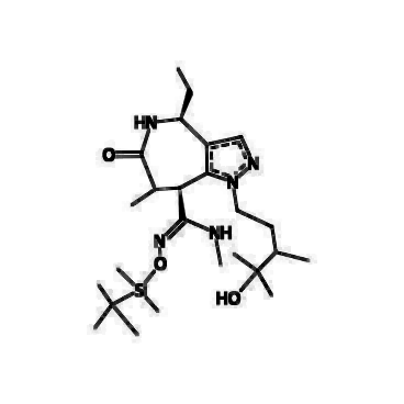 CC[C@@H]1NC(=O)C(C)[C@H](/C(=N/O[Si](C)(C)C(C)(C)C)NC)c2c1cnn2CCC(C)C(C)(C)O